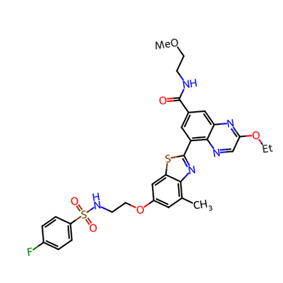 CCOc1cnc2c(-c3nc4c(C)cc(OCCNS(=O)(=O)c5ccc(F)cc5)cc4s3)cc(C(=O)NCCOC)cc2n1